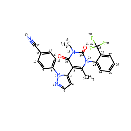 Cc1c(-c2ccnn2-c2ccc(C#N)cc2)c(=O)n(C)c(=O)n1-c1ccccc1C(F)(F)F